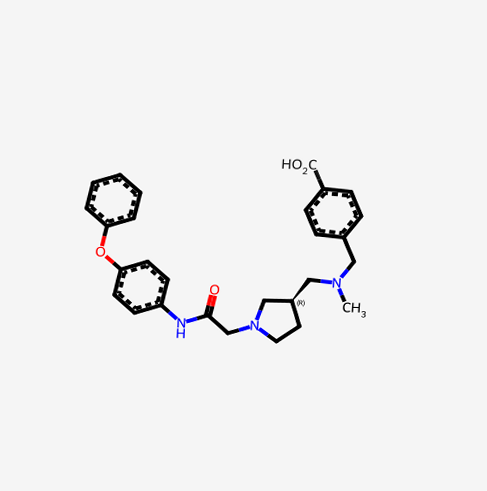 CN(Cc1ccc(C(=O)O)cc1)C[C@H]1CCN(CC(=O)Nc2ccc(Oc3ccccc3)cc2)C1